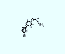 NC1CC1Oc1ccc(-c2nc(Br)no2)cc1